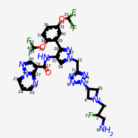 NCC(F)CN1CC(n2nnc(Cn3cc(NC(=O)c4cnn5cccnc45)c(-c4cc(OC(F)F)ccc4OC(F)F)n3)n2)C1